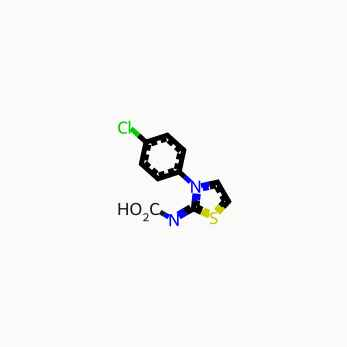 O=C(O)/N=c1/sccn1-c1ccc(Cl)cc1